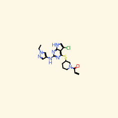 C=CC(=O)N1CCCC(Sc2nc(Nc3cnn(CC)c3)nc3[nH]cc(Cl)c23)C1